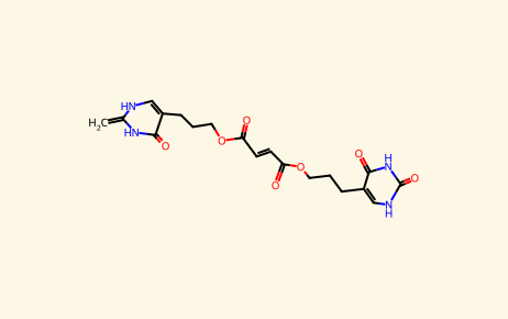 C=C1NC=C(CCCOC(=O)/C=C/C(=O)OCCCc2c[nH]c(=O)[nH]c2=O)C(=O)N1